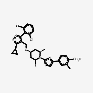 Cc1cc(-c2csc(N3[C@H](C)C[C@H](OCc4c(-c5c(Cl)cccc5Cl)noc4C4CC4)C[C@@H]3I)n2)ccc1C(=O)O